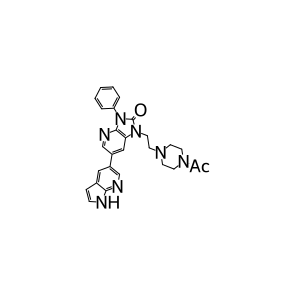 CC(=O)N1CCN(CCn2c(=O)n(-c3ccccc3)c3ncc(-c4cnc5[nH]ccc5c4)cc32)CC1